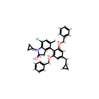 Cc1cc(F)c2c(c1-c1c(OCc3ccccc3)cc(CC3CC3)cc1OCc1ccccc1)CC(=O)N2C1CC1